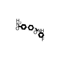 NC(=O)c1ccc([C@H]2CC[C@@H](CC(=O)Nc3ccc(F)cc3)CC2)cc1